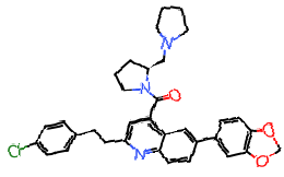 O=C(c1cc(CCc2ccc(Cl)cc2)nc2ccc(-c3ccc4c(c3)OCO4)cc12)N1CCC[C@H]1CN1CCCC1